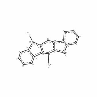 Brc1c2[nH]c3ccccc3c2cc2c1c1ccccc1n2I